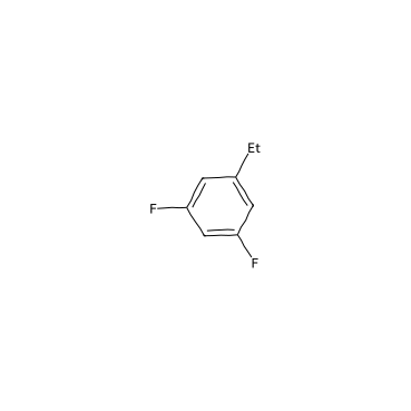 [CH2]Cc1cc(F)cc(F)c1